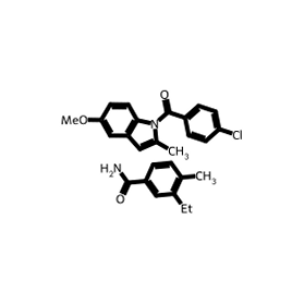 CCc1cc(C(N)=O)ccc1C.COc1ccc2c(c1)cc(C)n2C(=O)c1ccc(Cl)cc1